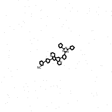 N#Cc1cccc(-c2ccc(-c3cc4c5cccnc5c(-c5cccc(-c6nc(-c7ccccc7)nc(-c7ccccc7)n6)c5)cc4c4cccnc34)cc2)c1